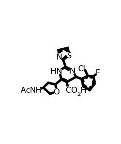 CC(=O)NC1COC(C2=C(C(=O)O)C(c3cccc(F)c3Cl)N=C(c3nccs3)N2)C1